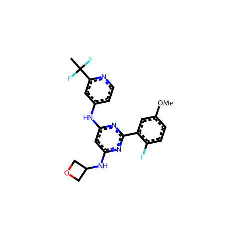 COc1ccc(F)c(-c2nc(Nc3ccnc(C(C)(F)F)c3)cc(NC3COC3)n2)c1